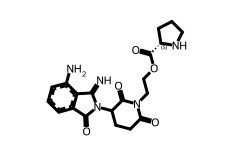 N=C1c2c(N)cccc2C(=O)N1C1CCC(=O)N(CCOC(=O)[C@@H]2CCCN2)C1=O